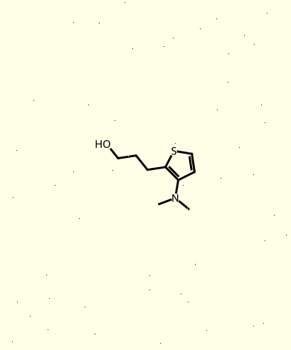 CN(C)c1ccsc1CCCO